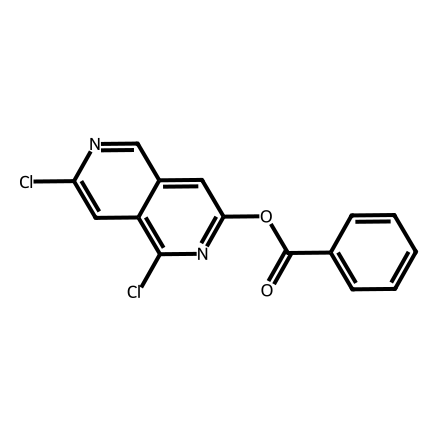 O=C(Oc1cc2cnc(Cl)cc2c(Cl)n1)c1ccccc1